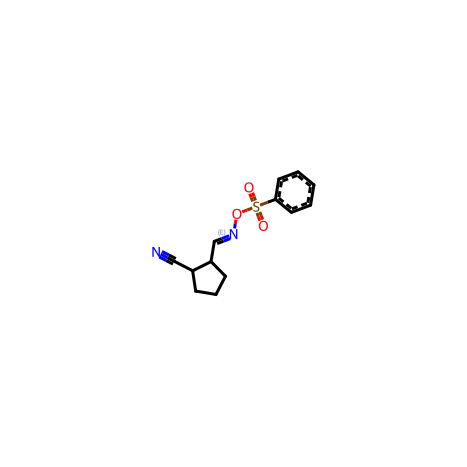 N#CC1CCCC1/C=N/OS(=O)(=O)c1ccccc1